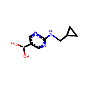 OB(O)c1cnc(NCC2CC2)nc1